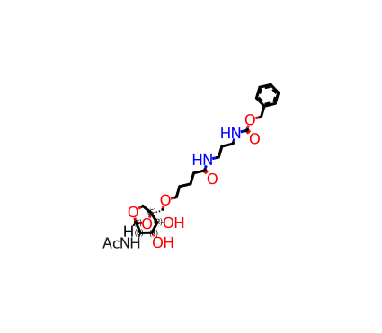 CC(=O)N[C@H]1[C@H]2OC[C@](COCCCCC(=O)NCCCNC(=O)OCc3ccccc3)(O2)[C@H](O)[C@@H]1O